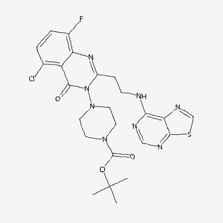 CC(C)(C)OC(=O)N1CCN(n2c(CCNc3ncnc4scnc34)nc3c(F)ccc(Cl)c3c2=O)CC1